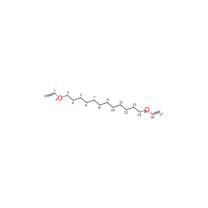 C=COCCCCCCCCCCCCOC=C